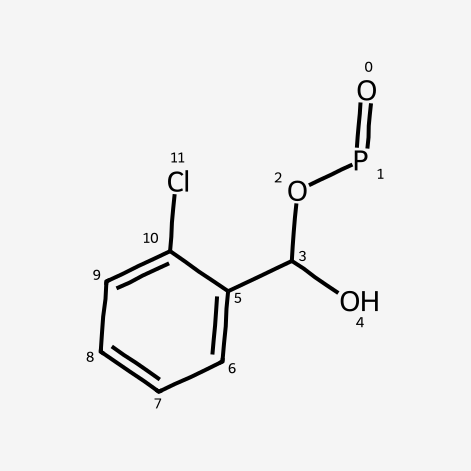 O=POC(O)c1ccccc1Cl